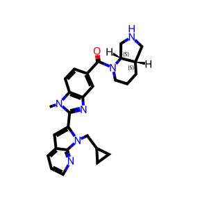 Cn1c(-c2cc3cccnc3n2CC2CC2)nc2cc(C(=O)N3CCC[C@H]4CNC[C@H]43)ccc21